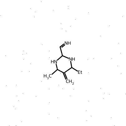 C=C1C(C)NC(C=N)NC1CC